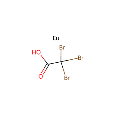 O=C(O)C(Br)(Br)Br.[Eu]